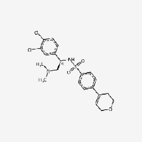 CN(C)C[C@H](NS(=O)(=O)c1ccc(C2=CCOCC2)cc1)c1ccc(Cl)c(Cl)c1